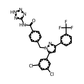 O=C(Nc1nn[nH]n1)c1ccc(Cn2nc(-c3cccc(C(F)(F)F)c3)cc2-c2cc(Cl)cc(Cl)c2)cc1